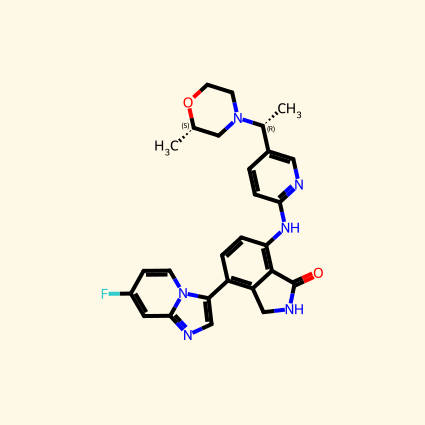 C[C@H](c1ccc(Nc2ccc(-c3cnc4cc(F)ccn34)c3c2C(=O)NC3)nc1)N1CCO[C@@H](C)C1